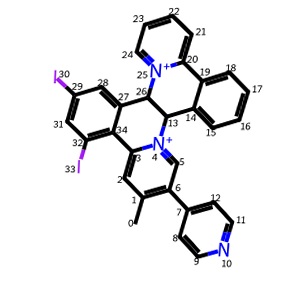 Cc1cc2[n+](cc1-c1ccncc1)C1c3ccccc3-c3cccc[n+]3C1c1cc(I)cc(I)c1-2